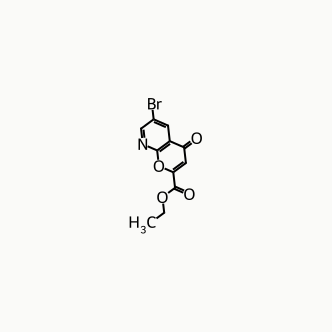 CCOC(=O)c1cc(=O)c2cc(Br)cnc2o1